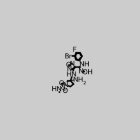 CNS(=O)(=O)N1CC[C@@](N)(CNc2nonc2/C(=N/O)Nc2ccc(F)c(Br)c2)C1